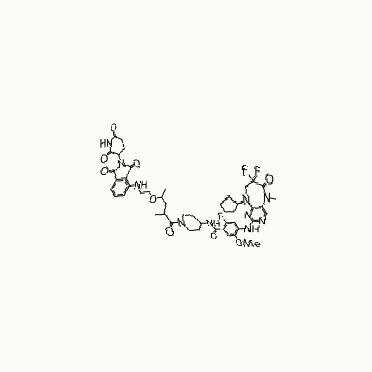 COc1cc(C(=O)NC2CCN(C(=O)C(C)CC(C)OCCNc3cccc4c3C(=O)N(C3CCC(=O)NC3=O)C4=O)CC2)c(F)cc1Nc1ncc2c(n1)N(C1CCCC1)CC(F)(F)C(=O)N2C